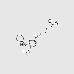 COC(=O)CCCCCOc1ccc(N)c(NC2CCCCC2)c1